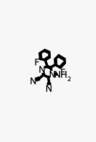 N#CC1=NC(c2ccccc2F)=C(c2ccccc2F)N(N)C1C#N